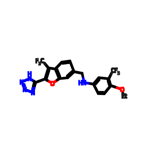 CCOc1ccc(NCc2ccc3c(C(F)(F)F)c(-c4nnn[nH]4)oc3c2)cc1C(F)(F)F